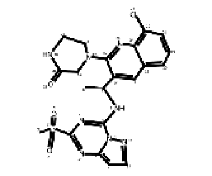 C[C@H](Nc1nc(S(C)(=O)=O)nc2ccnn12)c1cc2cccc(Cl)c2nc1N1CCNC(=O)C1